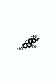 C[C@]12C=CC(O)=CC1CC(O)[C@@H]1[C@H]2CC[C@]2(C)C(N)=C(F)C[C@@H]12